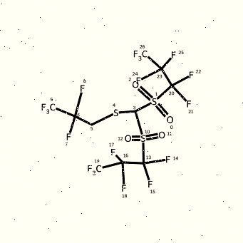 O=S(=O)(C(SCC(F)(F)C(F)(F)F)S(=O)(=O)C(F)(F)C(F)(F)C(F)(F)F)C(F)(F)C(F)(F)C(F)(F)F